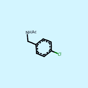 [CH2]C(=O)NCc1ccc(Cl)cc1